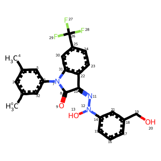 Cc1cc(C)cc(N2C(=O)C(=NN(O)c3cccc(CO)c3)c3ccc(C(F)(F)F)cc32)c1